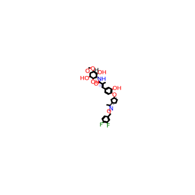 C/C(=C\c1ccc(O[C@H]2CC[C@@H](/C(C)=N/OCc3ccc(F)c(F)c3)C2)c(O)c1)C(=O)N[C@@H]1C(O)C(O)C2OCO[C@H]2[C@@H]1O